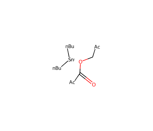 CC(=O)COC(=O)C(C)=O.CCC[CH2][Sn][CH2]CCC